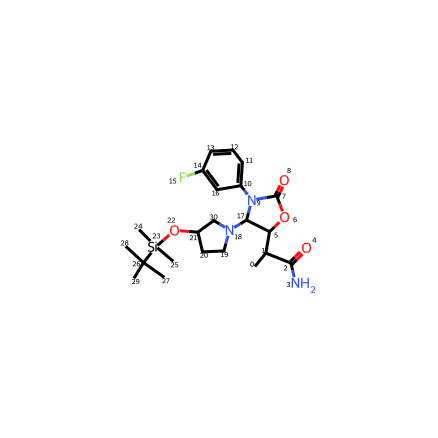 CC(C(N)=O)C1OC(=O)N(c2cccc(F)c2)C1N1CCC(O[Si](C)(C)C(C)(C)C)C1